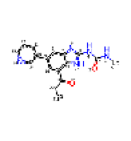 CCNC(=O)Nc1nc2cc(-c3cccnc3)cc(C(=O)CC(C)C)c2[nH]1